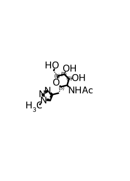 CC(=O)NC1[C@H](Cc2cn(C)nn2)O[C@H](CO)[C@H](O)[C@@H]1O